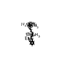 CCN1Cc2ccccc2CC1CCC(C)(CCCCB1OC(C)(C)C(C)(C)O1)C(C)(C)C